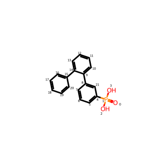 O=P(O)(O)c1cccc(-c2ccccc2-c2ccccc2)c1